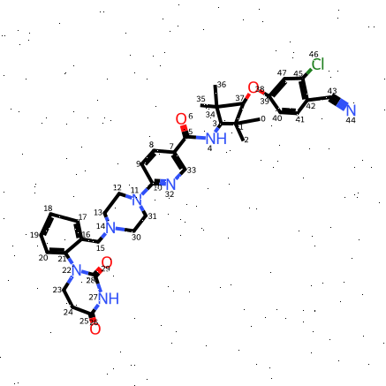 CC1(C)C(NC(=O)c2ccc(N3CCN(Cc4ccccc4N4CCC(=O)NC4=O)CC3)nc2)C(C)(C)C1Oc1ccc(C#N)c(Cl)c1